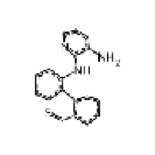 Nc1cccnc1Nc1ccccc1-c1ccccc1C=S